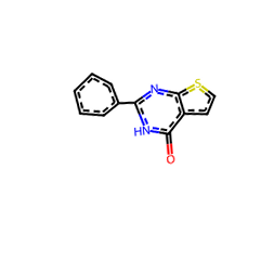 O=c1[nH]c(-c2ccccc2)nc2sccc12